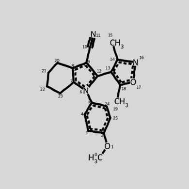 COc1ccc(-n2c3c(c(C#N)c2-c2c(C)noc2C)CCCC3)cc1